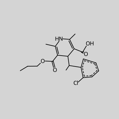 CCCOC(=O)C1=C(C)NC(C)=C(C(=O)O)C1C(C)c1ccccc1Cl